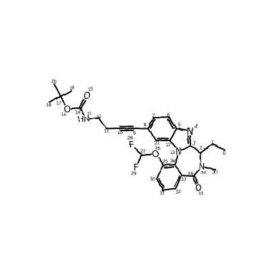 CCC1c2nc3ccc(C#CCCNC(=O)OC(C)(C)C)cc3n2-c2c(OC(F)F)cccc2C(=O)N1C